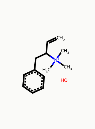 C=CC(Cc1ccccc1)[N+](C)(C)C.[OH-]